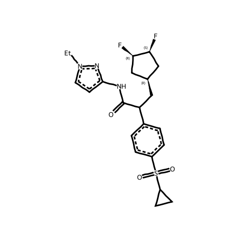 CCn1ccc(NC(=O)C(C[C@H]2C[C@@H](F)[C@@H](F)C2)c2ccc(S(=O)(=O)C3CC3)cc2)n1